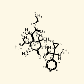 CCOC(=O)/C(C)=C/[C@H](C(C)C)N(C)C(=O)[C@@H](NC(=O)C(NC)(c1ccccc1)C1CC1)C(C)(C)C